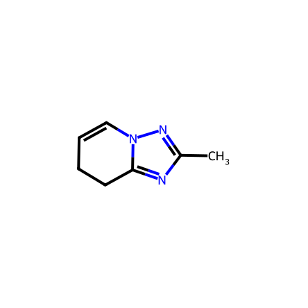 Cc1nc2n(n1)C=CCC2